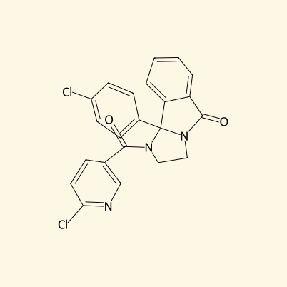 O=C(c1ccc(Cl)nc1)N1CCN2C(=O)c3ccccc3C12c1ccc(Cl)cc1